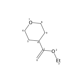 C=C(OCC)C1CCOCC1